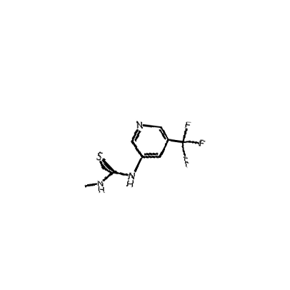 CNC(=S)Nc1cncc(C(F)(F)F)c1